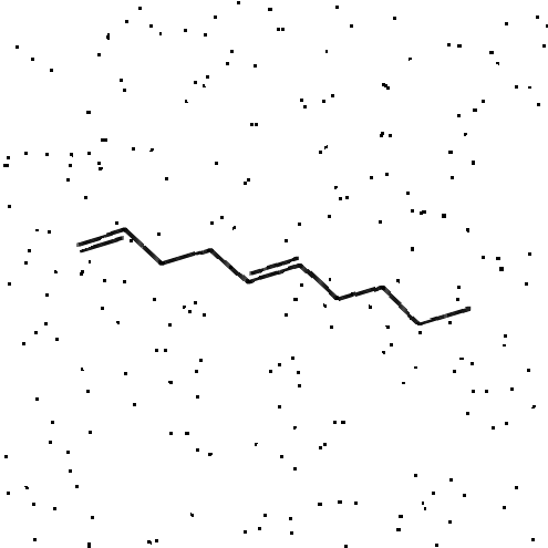 C=CCCC=CCCCC